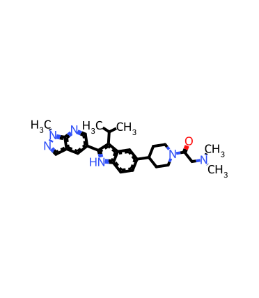 CC(C)c1c(-c2cnc3c(cnn3C)c2)[nH]c2ccc(C3CCN(C(=O)CN(C)C)CC3)cc12